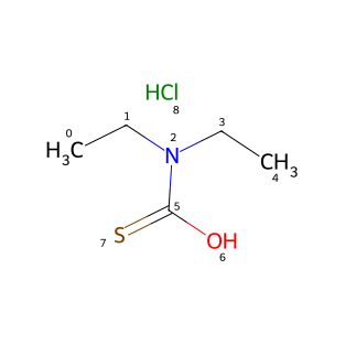 CCN(CC)C(O)=S.Cl